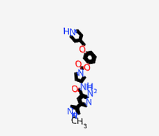 Cn1cc(-c2cnc(N)c(C(=O)N[C@@H]3CCN(C(=O)Oc4cccc(OCC5CCNCC5)c4)C3)c2)cn1